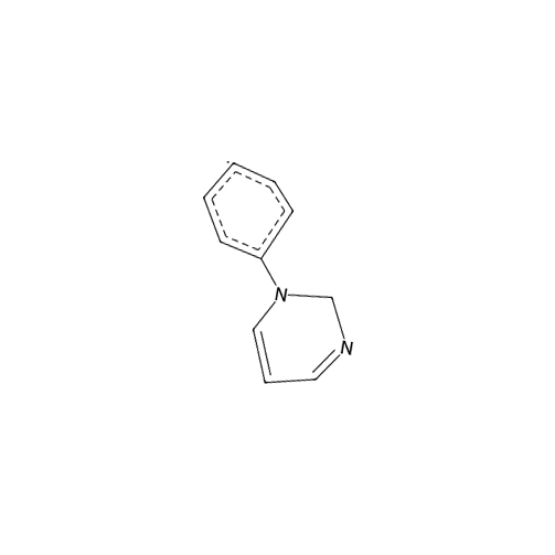 [c]1ccc(N2C=CC=NC2)cc1